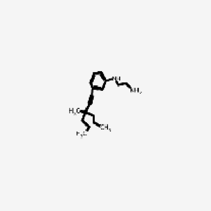 CCCC(C)(C#Cc1cccc(NCCN)c1)CCC